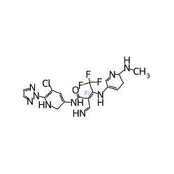 CNC1CC=C(N/C(=C(\C=N)C(=O)NC2=CC(Cl)=C(n3nccn3)NC2)C(F)(F)F)C=N1